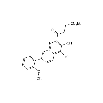 CCOC(=O)CCC(=O)c1nc2cc(-c3ccccc3OC(F)(F)F)ccc2c(Br)c1O